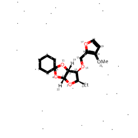 CC[C@H]1O[C@@H]2OC3(CCCCC3)O[C@@H]2[C@H]1OCc1occc1OC